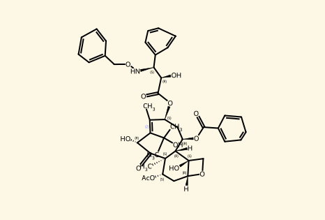 CC(=O)O[C@H]1C[C@H]2OC[C@@]2(O)[C@H]2[C@H](OC(=O)c3ccccc3)C[C@H](OC(=O)[C@H](O)[C@@H](NOCc3ccccc3)c3ccccc3)/C(C)=C(\C(C)(C)O)[C@@H](O)C(=O)[C@]12C